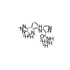 [2H]C([2H])([2H])NC(=O)c1nnccc1Nc1cccc2c1N(C)C([2H])([2H])c1nn(C)nc1-2